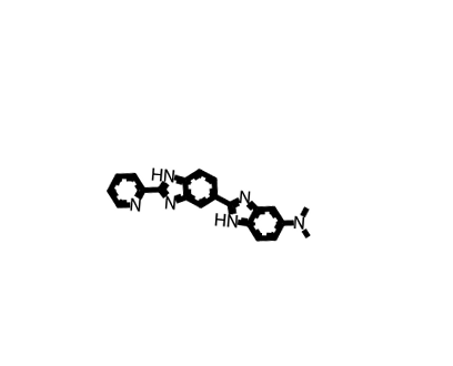 CN(C)c1ccc2[nH]c(-c3ccc4[nH]c(-c5ccccn5)nc4c3)nc2c1